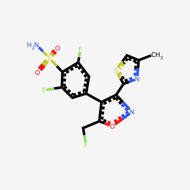 Cc1csc(-c2noc(CF)c2-c2cc(F)c(S(N)(=O)=O)c(F)c2)n1